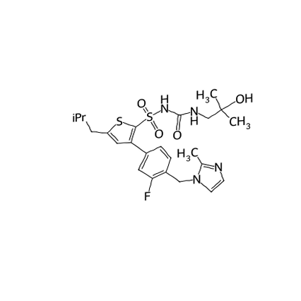 Cc1nccn1Cc1ccc(-c2cc(CC(C)C)sc2S(=O)(=O)NC(=O)NCC(C)(C)O)cc1F